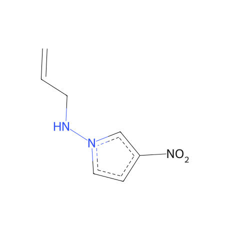 C=CCNn1ccc([N+](=O)[O-])c1